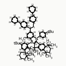 Cc1cc(C(Cc2ccc(-c3ccccc3)cc2)c2ccc(-c3ccccc3)cc2)cc2c1B(c1cc(C(C)(C)C)cc(C3(C)CCCCC3(C)C)c1C)C1=C(c3cc4c(cc3C1(C)C)C(C)(C)CCC4(C)C)N2c1ccc(C(C)(C)C)cc1